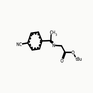 C/C(=N\CC(=O)OC(C)(C)C)c1ccc(C#N)cc1